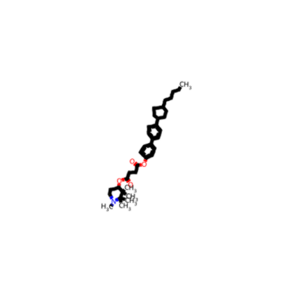 CCCCCC1CCC(c2ccc(-c3ccc(OC(=O)CCC(=O)OC4CCN(C)C(C)(C)C4(C)C)cc3)cc2)CC1